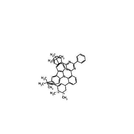 C[C@@H]1C(C#N)=CC(c2cccc(-c3nc(-c4ccccc4)nc(-c4ccccc4)n3)c2-n2c3ccc(C(C)(C)C)cc3c3cc(C(C)(C)C)ccc32)C[C@@H]1C